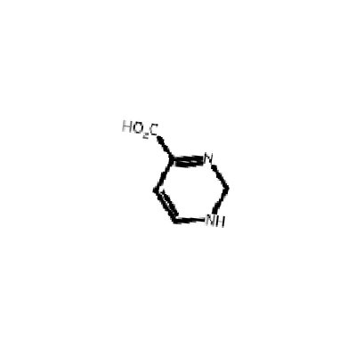 O=C(O)C1=NCNC=C1